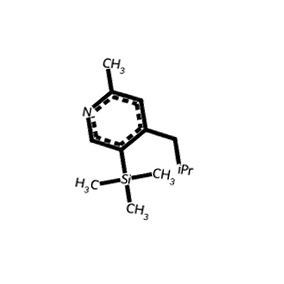 Cc1cc(CC(C)C)c([Si](C)(C)C)cn1